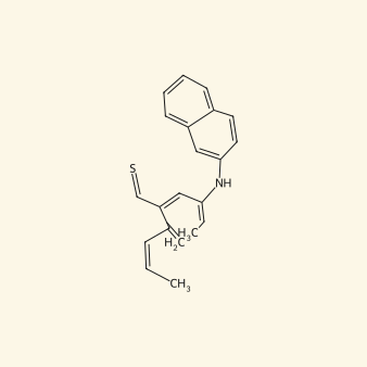 C=C(/C=C\C)/C(C=S)=C\C(=C/C)Nc1ccc2ccccc2c1